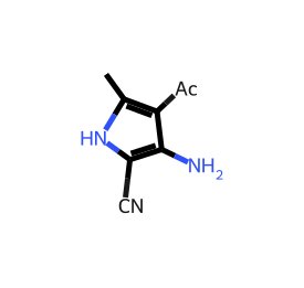 CC(=O)c1c(C)[nH]c(C#N)c1N